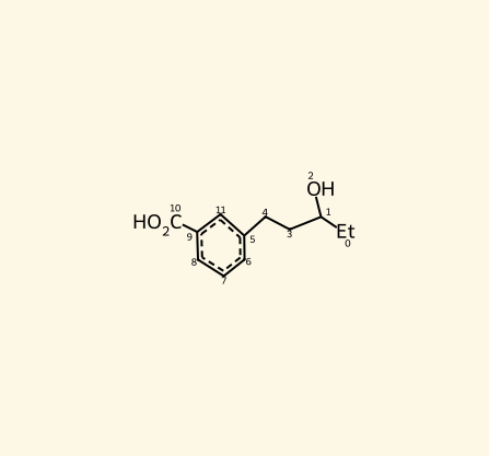 CCC(O)CCc1cccc(C(=O)O)c1